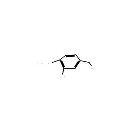 O=C(O)c1ccc(CBr)cc1C(F)(F)F